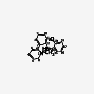 CN1CC=CC=C1c1cccc2c1Nc1ccccc1O2